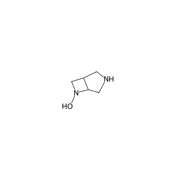 ON1CC2CNCC21